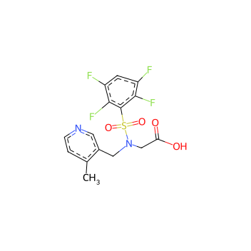 Cc1ccncc1CN(CC(=O)O)S(=O)(=O)c1c(F)c(F)cc(F)c1F